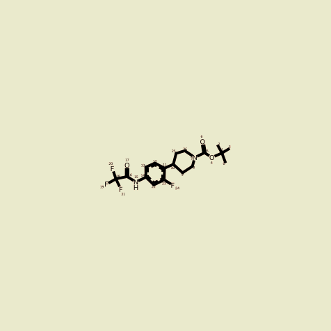 CC(C)(C)OC(=O)N1CCC(c2ccc(NC(=O)C(F)(F)F)cc2F)CC1